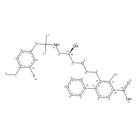 CCc1ccc(CC(C)(C)NC[C@@H](O)COCCc2c(-c3ccccc3)ccc(C(=O)O)c2C)cc1F